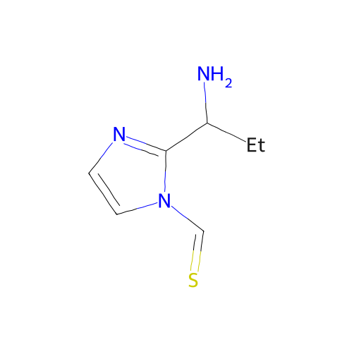 [CH2]CC(N)c1nccn1C=S